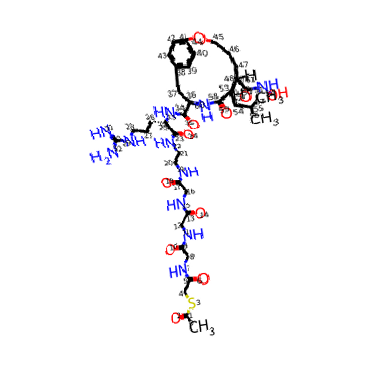 CC(=O)SCC(=O)NCC(=O)NCC(=O)NCC(=O)NCCNC(=O)[C@H](CCCNC(=N)N)NC(=O)C1Cc2ccc(cc2)OCCC[C@H](C(=O)NO)[C@@H](CC(C)C)C(=O)N1